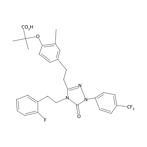 Cc1cc(CCc2nn(-c3ccc(C(F)(F)F)cc3)c(=O)n2CCc2ccccc2F)ccc1OC(C)(C)C(=O)O